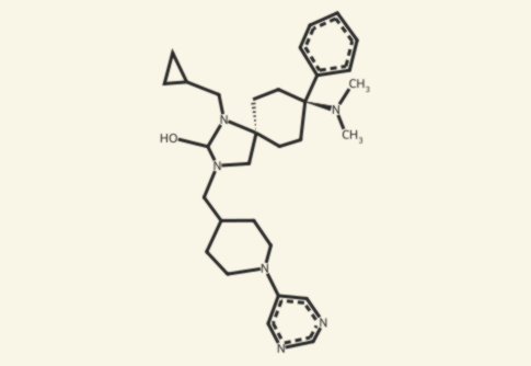 CN(C)[C@]1(c2ccccc2)CC[C@]2(CC1)CN(CC1CCN(c3cncnc3)CC1)C(O)N2CC1CC1